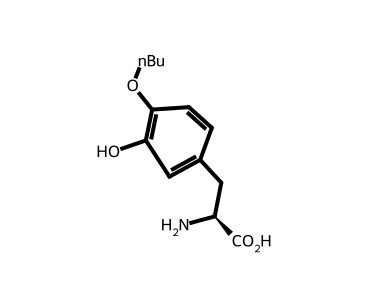 CCCCOc1ccc(C[C@H](N)C(=O)O)cc1O